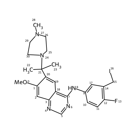 COc1cc2ncnc(Nc3ccc(F)c(CI)c3)c2cc1C(C)(C)N1CCN(C)CC1